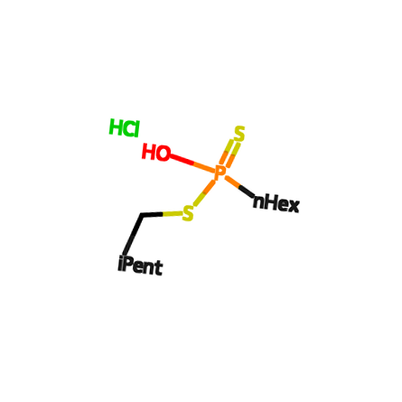 CCCCCCP(O)(=S)SCC(C)CCC.Cl